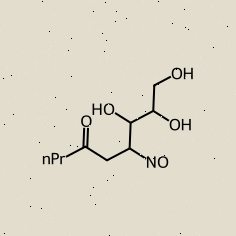 CCCC(=O)CC(N=O)C(O)C(O)CO